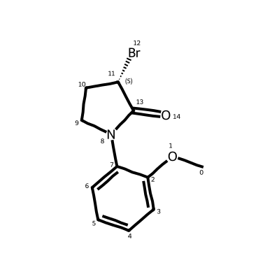 COc1ccccc1N1CC[C@H](Br)C1=O